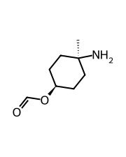 C[C@]1(N)CC[C@@H](OC=O)CC1